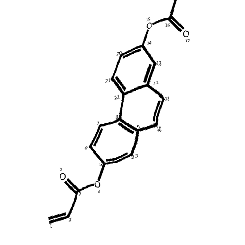 C=CC(=O)Oc1ccc2c(ccc3cc(OC(=O)CC)ccc32)c1